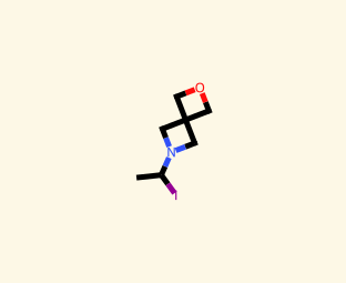 CC(I)N1CC2(COC2)C1